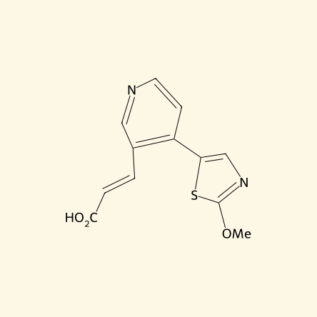 COc1ncc(-c2ccncc2C=CC(=O)O)s1